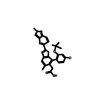 Cc1cc2nc(-c3ccc4nn(C)cc4n3)sc2c(-c2ccc(Cl)cc2OC(C)(C)C)c1CC(=O)O